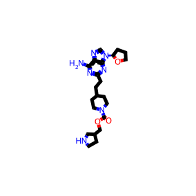 Nc1nc(CCC2CCN(C(=O)OCC3CCNC3)CC2)nc2c1ncn2[C@H]1CCCO1